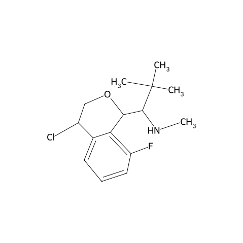 CNC(C1OCC(Cl)c2cccc(F)c21)C(C)(C)C